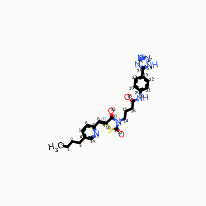 CCCCc1ccc(/C=C2\SC(=O)N(CCCC(=O)Nc3ccc(-c4nnn[nH]4)cc3)C2=O)nc1